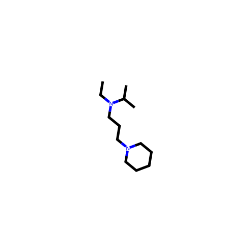 CCN(CCCN1CCCCC1)C(C)C